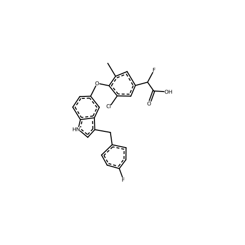 Cc1cc(C(F)C(=O)O)cc(Cl)c1Oc1ccc2[nH]cc(Cc3ccc(F)cc3)c2c1